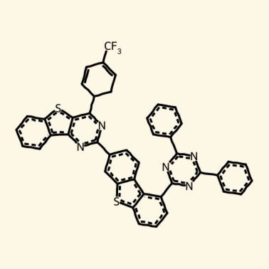 FC(F)(F)C1=CCC(c2nc(-c3ccc4c(c3)sc3cccc(-c5nc(-c6ccccc6)nc(-c6ccccc6)n5)c34)nc3c2sc2ccccc23)C=C1